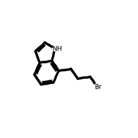 BrCCCc1cccc2cc[nH]c12